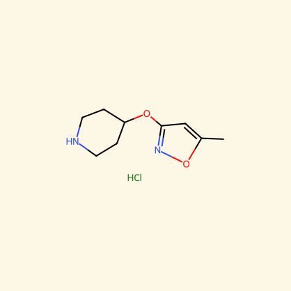 Cc1cc(OC2CCNCC2)no1.Cl